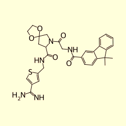 CC1(C)c2ccccc2-c2cc(C(=O)NCC(=O)N3CC4(CC3C(=O)NCc3cc(C(=N)N)cs3)OCCO4)ccc21